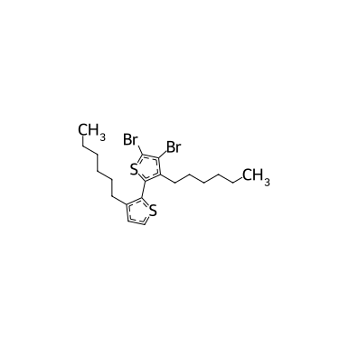 CCCCCCc1ccsc1-c1sc(Br)c(Br)c1CCCCCC